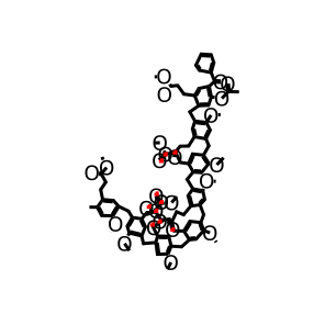 COC(=O)CCc1cc(Cc2cc(OC)c(Cc3cc(OC)c(Cc4cc(OC)c(Cc5cc(OC)c(Cc6cc(OC)c(Cc7cc(OC)c(Cc8cc(OC(C)=O)c(C(=O)c9ccccc9)cc8CCC(=O)OC)cc7CCC(=O)OC)cc6CCC(=O)OC)cc5CCC(=O)OC)cc4CCC(=O)OC)cc3CCC(=O)OC)cc2CCC(=O)OC)c(OC)cc1C